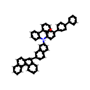 c1ccc(-c2ccc(-c3ccc(N(c4ccc5ccc(-c6cc7ccc8ccccc8c7c7ccccc67)cc5c4)c4ccccc4-c4ccccc4)cc3)cc2)cc1